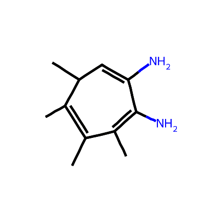 CC1=C(N)C(N)=CC(C)C(C)=C1C